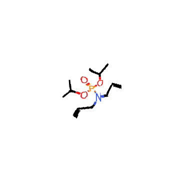 C=CCN(CC=C)P(=O)(OC(C)C)OC(C)C